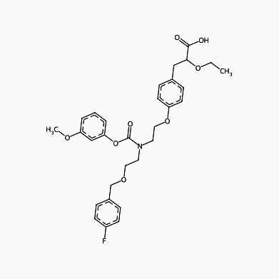 CCOC(Cc1ccc(OCCN(CCOCc2ccc(F)cc2)C(=O)Oc2cccc(OC)c2)cc1)C(=O)O